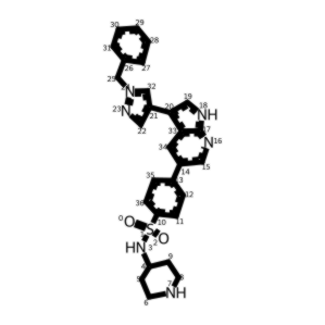 O=S(=O)(NC1CCNCC1)c1ccc(-c2cnc3[nH]cc(-c4cnn(Cc5ccccc5)c4)c3c2)cc1